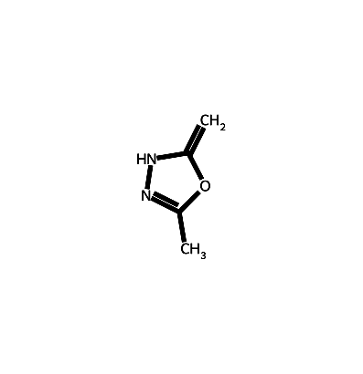 C=C1NN=C(C)O1